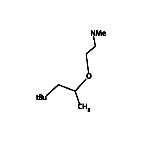 CNCCOC(C)CC(C)(C)C